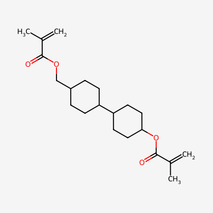 C=C(C)C(=O)OCC1CCC(C2CCC(OC(=O)C(=C)C)CC2)CC1